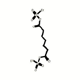 CCS(=O)(=O)OC(=O)CCCCCC(=O)OS(=O)(=O)CC